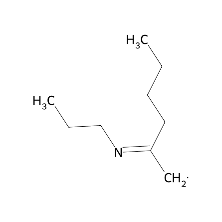 [CH2]C(CCCC)=NCCC